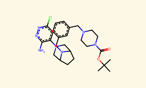 CC(C)(C)OC(=O)N1CCN(Cc2cccc(CN3C4CCC3CN(c3cc(Cl)nnc3N)C4)c2)CC1